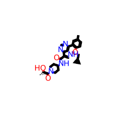 Cc1ccc(OCC2CC2)c(-c2ncnc3c(C(=O)NC4CCN(C(=O)[C@H](C)O)CC4)c[nH]c23)c1